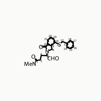 CNC(=O)CCC(C=O)N1Cc2c(SCc3ccccc3)cccc2C1=O